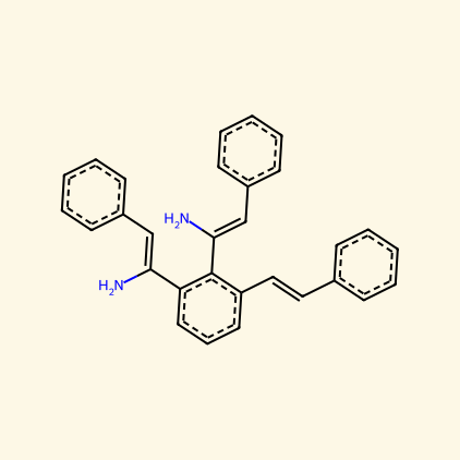 NC(=Cc1ccccc1)c1cccc(C=Cc2ccccc2)c1C(N)=Cc1ccccc1